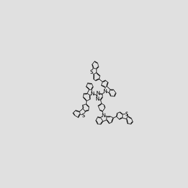 c1ccc2c(c1)sc1ccc(-c3ccc4c5ccccc5n(-c5ccc(-c6cc(-n7c8ccccc8c8ccc(-c9ccc%10sc%11ccccc%11c%10c9)cc87)nc(-n7c8ccccc8c8ccc(-c9ccc%10sc%11ccccc%11c%10c9)cc87)n6)cc5)c4c3)cc12